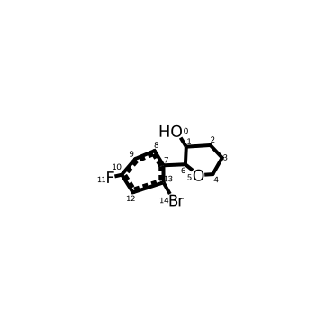 OC1CCCOC1c1ccc(F)cc1Br